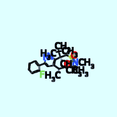 CC[C@H](C)c1cc(-c2ccccc2F)nnc1[C@](C)(CS(=O)(=O)N(C)C)C(C)(C)C